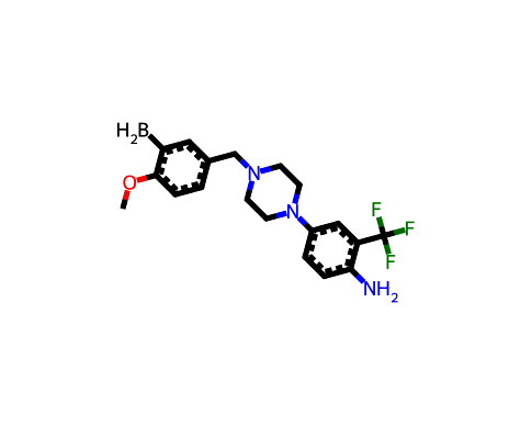 Bc1cc(CN2CCN(c3ccc(N)c(C(F)(F)F)c3)CC2)ccc1OC